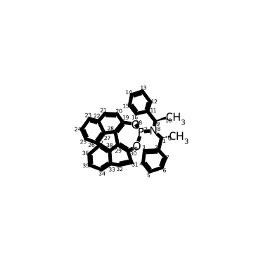 C[C@H](c1ccccc1)N([C@H](C)c1ccccc1)p1oc2ccc3ccccc3c2c2c(ccc3ccccc32)o1